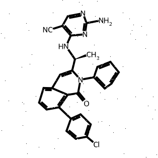 C[C@H](Nc1nc(N)ncc1C#N)c1cc2cccc(-c3ccc(Cl)cc3)c2c(=O)n1-c1ccccc1